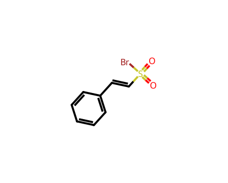 O=S(=O)(Br)C=Cc1ccccc1